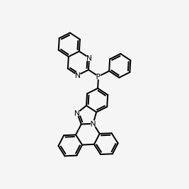 c1ccc(P(c2ccc3c(c2)nc2c4ccccc4c4ccccc4n32)c2ncc3ccccc3n2)cc1